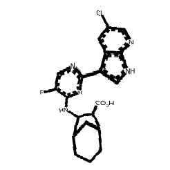 O=C(O)C1C2CCCC(C2)C1Nc1nc(-c2c[nH]c3ncc(Cl)cc23)ncc1F